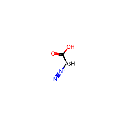 N#[N+][AsH]C(=O)O